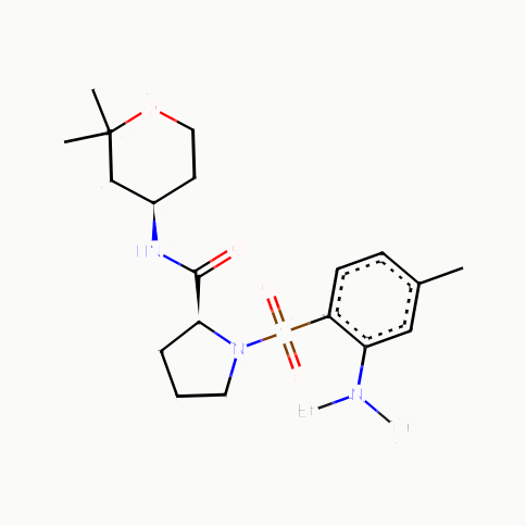 CCN(c1cc(C)ccc1S(=O)(=O)N1CCC[C@H]1C(=O)N[C@@H]1CCOC(C)(C)C1)C(C)C